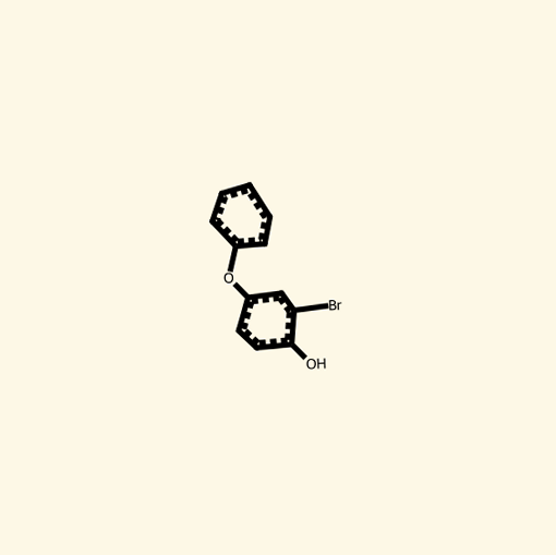 Oc1ccc(Oc2ccccc2)cc1Br